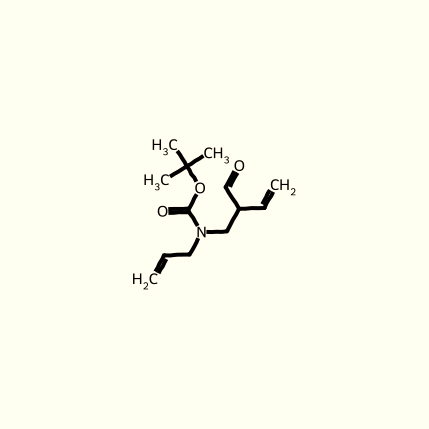 C=CCN(CC(C=C)C=O)C(=O)OC(C)(C)C